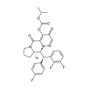 CC(C)OC(=O)Oc1c2n(ncc1=O)[C@@H]([C@H](c1ccc(F)cc1)c1cccc(F)c1F)[C@H]1CCCN1C2=O